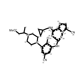 COCC(C)N1CCN(c2cc(C#N)cc(Nc3nc(NC4CC4)c4ncc(C#N)n4n3)c2Cl)CC1